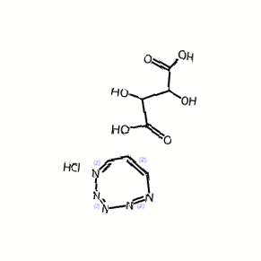 C1=C\N=N/N=N\N=C/1.Cl.O=C(O)C(O)C(O)C(=O)O